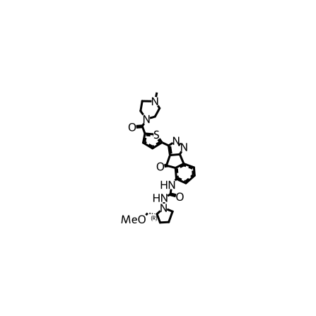 COC[C@H]1CCCN1NC(=O)Nc1cccc2c1C(=O)C1=C(c3ccc(C(=O)N4CCN(C)CC4)s3)N=NC12